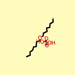 CCCCCCCCOCCCCCCCC.O=S(=O)(O)O